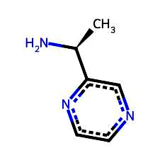 C[C@H](N)c1cnccn1